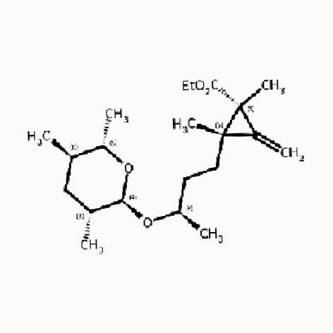 C=C1[C@@](C)(C(=O)OCC)[C@@]1(C)CC[C@@H](C)O[C@@H]1O[C@@H](C)[C@H](C)C[C@H]1C